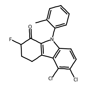 Cc1ccccc1-n1c2c(c3c(Cl)c(Cl)ccc31)CCC(F)C2=O